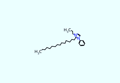 CCCCCCCCCCCCCCCc1n(-c2ccccc2)cc[n+]1CCC